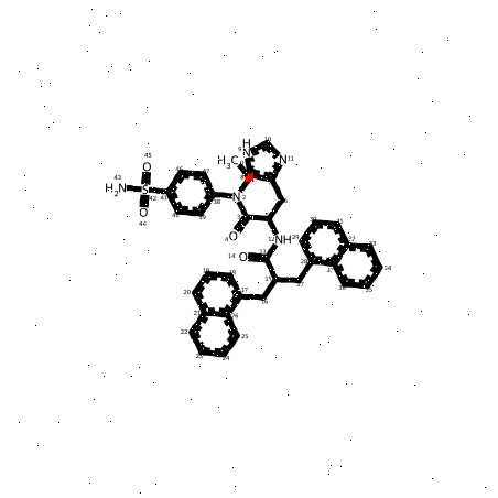 CCN(C(=O)C(Cc1c[nH]cn1)NC(=O)C(Cc1cccc2ccccc12)Cc1cccc2ccccc12)c1ccc(S(N)(=O)=O)cc1